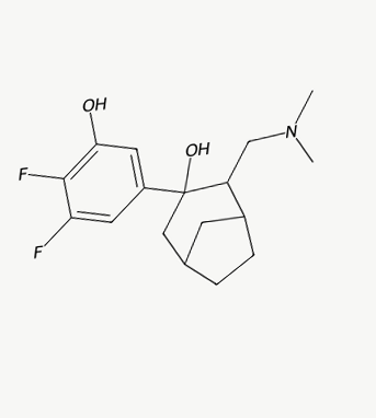 CN(C)CC1C2CCC(C2)CC1(O)c1cc(O)c(F)c(F)c1